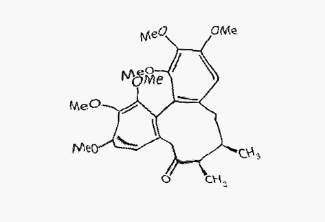 COc1cc2c(c(OC)c1OC)-c1c(cc(OC)c(OC)c1OC)C(=O)[C@H](C)[C@H](C)C2